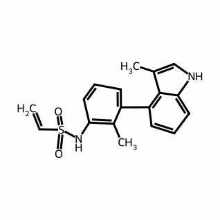 C=CS(=O)(=O)Nc1cccc(-c2cccc3[nH]cc(C)c23)c1C